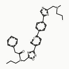 CCCN(C)Cc1ncc(-c2ccc(-c3ccc(-c4noc(CN(CCC)C(=O)Cc5ccccc5)n4)cc3)cc2)s1